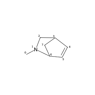 CN1CC2C=CC1C2